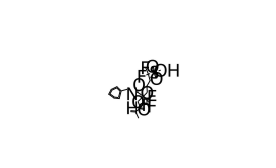 C=C(C)C(=O)OC(OCCC(F)(F)S(=O)(=O)O)(C(=O)NCc1ccccc1)C(F)(F)F